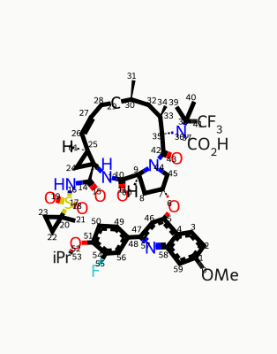 COc1ccc2c(O[C@@H]3C[C@H]4C(=O)N[C@]5(C(=O)NS(=O)(=O)C6(C)CC6)C[C@H]5/C=C\CC[C@@H](C)C[C@@H](C)[C@H](N(C(=O)O)C(C)(C)C(F)(F)F)C(=O)N4C3)cc(-c3ccc(OC(C)C)c(F)c3)nc2c1